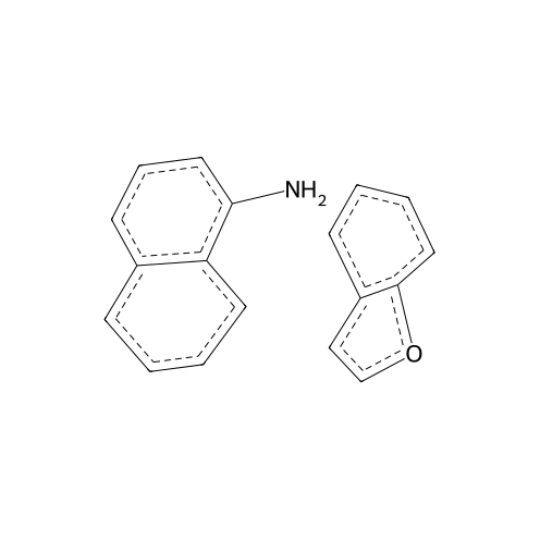 Nc1cccc2ccccc12.c1ccc2occc2c1